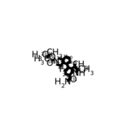 Cc1[nH]c2c(c1C)C(c1cccc3c1CCN(C(=O)OC(C)(C)C)C3)=C(F)CC2C(N)=O